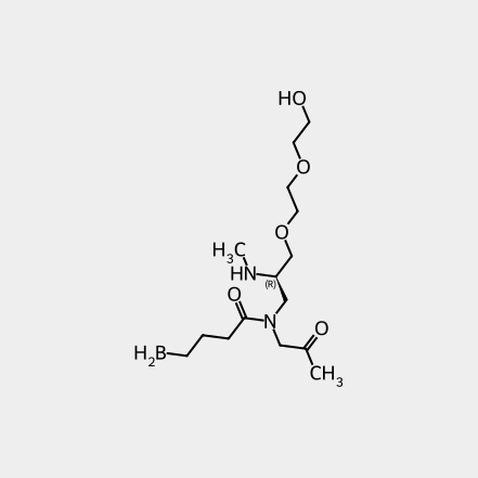 BCCCC(=O)N(CC(C)=O)C[C@H](COCCOCCO)NC